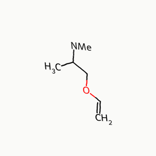 C=COCC(C)NC